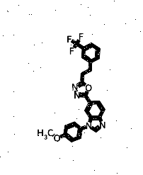 COc1ccc(-n2cnc3ccc(-c4nnc(CCc5cccc(C(F)(F)F)c5)o4)cc32)cc1